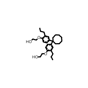 CCCc1cc(C2(c3ccc(OCCO)c(CCC)c3)CCCCCCC2)ccc1OCCO